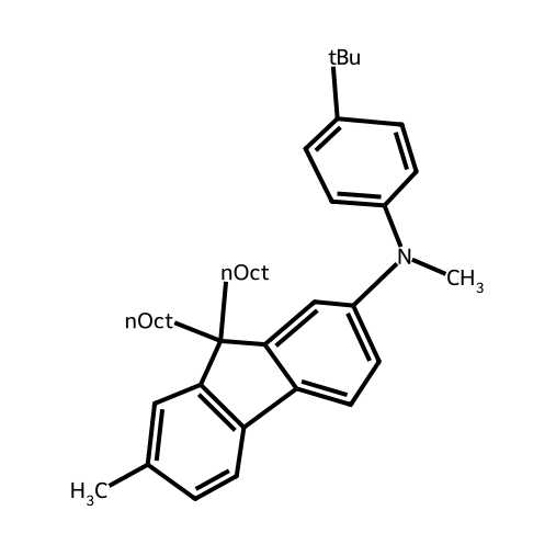 CCCCCCCCC1(CCCCCCCC)c2cc(C)ccc2-c2ccc(N(C)c3ccc(C(C)(C)C)cc3)cc21